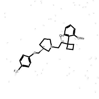 COc1ccccc1C1([C@@H](O)CN2CCC[C@H](COc3ccc(C(F)(F)F)cc3)C2)CCC1